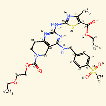 CCOCCOC(=O)N1CCc2nc(Nc3nc(C)c(C(=O)OCC)s3)nc(NCc3ccc(S(C)(=O)=O)cc3)c2C1